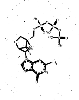 Cc1nc2c(ncn2[C@@H]2O[C@]3(COP(=O)(O)OP(=O)(O)OP(=O)(O)O)COC2[C@H]3O)c(=O)[nH]1